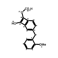 COc1ccccc1Cc1ccc2c(c1)C(O)=C2OC(=O)O